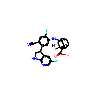 N#Cc1cc(F)c(N[C@H]2C3CCC(CC3)[C@@H]2C(=O)O)cc1C1CNc2ncc(F)cc21